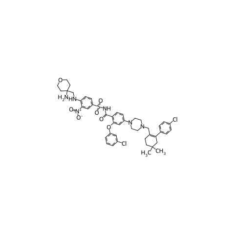 CC1(C)CCC(CN2CCN(c3ccc(C(=O)NS(=O)(=O)c4ccc(NCC5(N)CCOCC5)c([N+](=O)[O-])c4)c(Oc4cccc(Cl)c4)c3)CC2)=C(c2ccc(Cl)cc2)C1